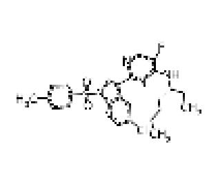 CCCC[C@@H](CC)Nc1nc(-c2cn(S(=O)(=O)c3ccc(C)cc3)c3ncc(Cl)cc23)ncc1F